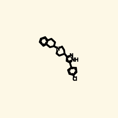 Clc1ccc(-c2cc(C3CCN(C4CCc5ccccc5C4)CC3)n[nH]2)cc1